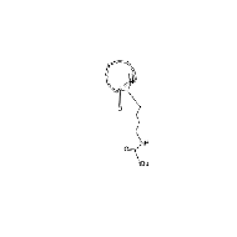 CC(C)(C)C(=O)NCCCCC1Nc2ccccccc(cc2)C1=O